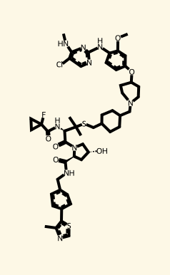 CNc1nc(Nc2ccc(OC3CCN(CC4CCC(CSC(C)(C)[C@@H](NC(=O)C5(F)CC5)C(=O)N5C[C@H](O)C[C@H]5C(=O)NCc5ccc(-c6scnc6C)cc5)CC4)CC3)cc2OC)ncc1Cl